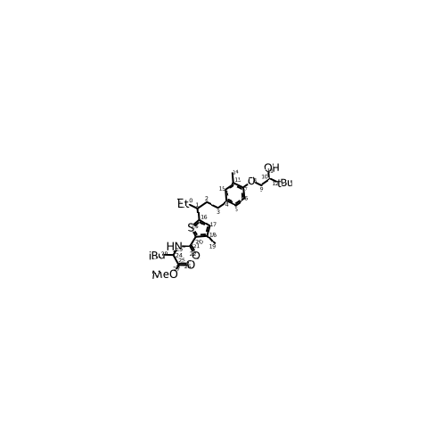 CCC(CCc1ccc(OCC(O)C(C)(C)C)c(C)c1)c1cc(C)c(C(=O)NC(C(=O)OC)C(C)CC)s1